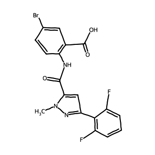 Cn1nc(-c2c(F)cccc2F)cc1C(=O)Nc1ccc(Br)cc1C(=O)O